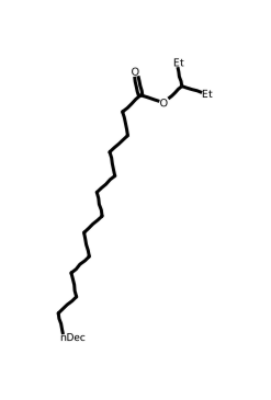 CCCCCCCCCCCCCCCCCCCCCC(=O)OC(CC)CC